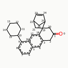 O=C1Cc2cc3cccc(C4CCCCC4)c3cc2C2(C1)CC1C=CC2C1